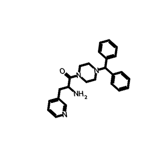 NC(Cc1cccnc1)C(=O)N1CCN(C(c2ccccc2)c2ccccc2)CC1